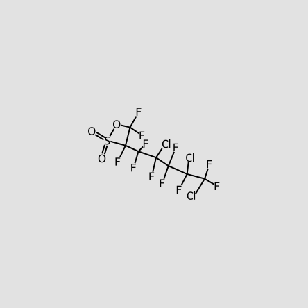 O=S1(=O)OC(F)(F)C1(F)C(F)(F)C(F)(Cl)C(F)(F)C(F)(Cl)C(F)(F)Cl